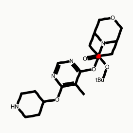 Cc1c(OC2CCNCC2)ncnc1OC1CC2COCC(C1)N2C(=O)OC(C)(C)C